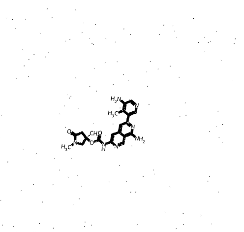 Cc1c(N)cncc1-c1cc2cc(NC(=O)O[C@]3(C)CC(=O)N(C)C3)ncc2c(N)n1